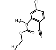 CCOC(=O)N(C)c1cc(Cl)ccc1C#N